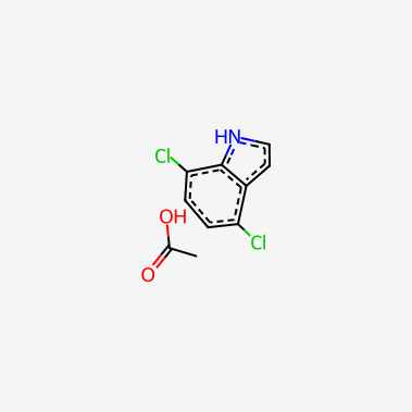 CC(=O)O.Clc1ccc(Cl)c2[nH]ccc12